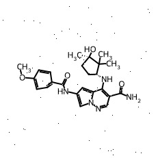 COc1ccc(C(=O)Nc2cc3c(N[C@@H]4CC[C@@](C)(O)C4(C)C)c(C(N)=O)cnn3c2)cc1